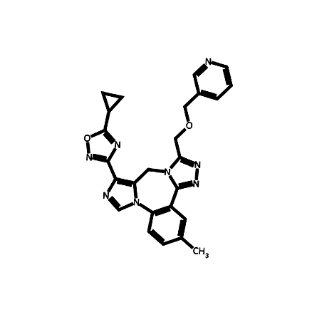 Cc1ccc2c(c1)-c1nnc(COCc3cccnc3)n1Cc1c(-c3noc(C4CC4)n3)ncn1-2